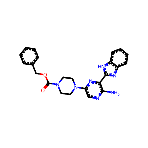 Nc1ncc(N2CCN(C(=O)OCc3ccccc3)CC2)nc1-c1nc2ccccc2[nH]1